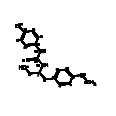 COc1ccc(C[C@@H](CO)NC(=O)Nc2ccc(Cl)cc2)cc1